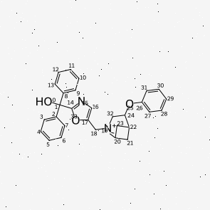 OC(c1ccccc1)(c1ccccc1)c1ncc(C[N+]2=C3CC(C3)C(Oc3ccccc3)C2)o1